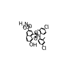 Cc1cc(Cl)ccc1N(c1ccc(Cl)cc1C)S(=O)(=O)c1cc(S(N)(=O)=O)cc2ccc(O)cc12